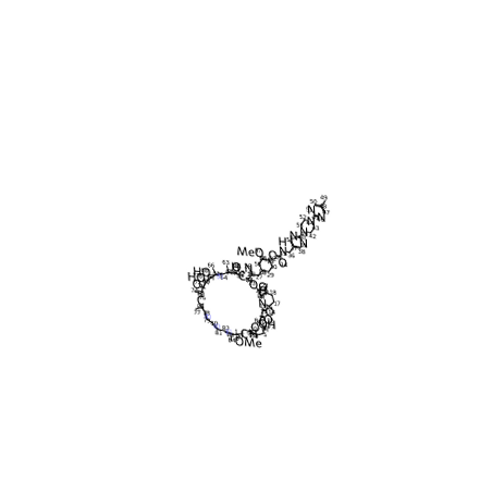 CO[C@H]1C[C@@H]2CC[C@@H](C)[C@@](O)(O2)C(=O)C(=O)N2CCCC[C@H]2C(=O)O[C@H]([C@H](N)C[C@@H]2CC[C@@H](OC(=O)NCc3cnc(N4CCN(c5ncc(C)cn5)CC4)nc3)[C@H](OC)C2)CC(=O)[C@H](C)/C=C(\C)[C@@H](O)[C@@H](O)C(=O)[C@H](C)C[C@H](C)/C=C/C=C/C=C/1C